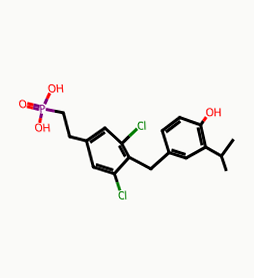 CC(C)c1cc(Cc2c(Cl)cc(CCP(=O)(O)O)cc2Cl)ccc1O